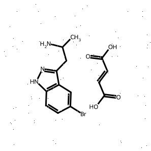 CC(N)Cc1n[nH]c2ccc(Br)cc12.O=C(O)/C=C/C(=O)O